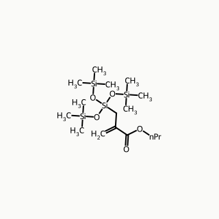 C=C(C[Si](O[Si](C)(C)C)(O[Si](C)(C)C)O[Si](C)(C)C)C(=O)OCCC